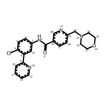 O=C(Nc1ccc(Cl)c(-c2ccccn2)c1)c1ccc(CN2CCOCC2)nc1